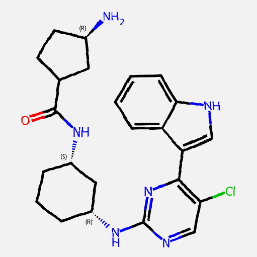 N[C@@H]1CCC(C(=O)N[C@H]2CCC[C@@H](Nc3ncc(Cl)c(-c4c[nH]c5ccccc45)n3)C2)C1